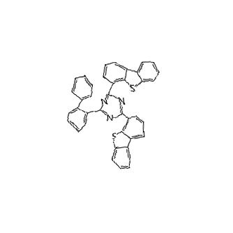 c1ccc(-c2ccccc2-c2nc(-c3cccc4c3sc3ccccc34)nc(-c3cccc4c3sc3ccccc34)n2)cc1